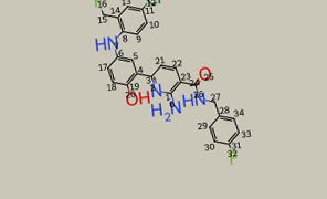 Nc1nc(-c2cc(Nc3ccc(Cl)cc3CF)ccc2O)ccc1C(=O)NCc1ccc(F)cc1